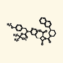 COc1ccc(CN(C(=O)OC(C)(C)C)c2cc(C[C@H]3C(=O)N(C(=O)N4CCCC(c5ccc6ccccc6c5)C4)[C@@H]3C(=O)O)ccn2)cc1